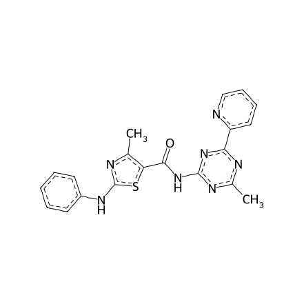 Cc1nc(NC(=O)c2sc(Nc3ccccc3)nc2C)nc(-c2ccccn2)n1